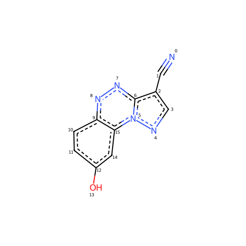 N#Cc1cnn2c1nnc1ccc(O)cc12